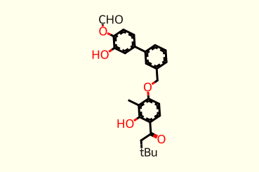 Cc1c(OCc2cccc(-c3ccc(OC=O)c(O)c3)c2)ccc(C(=O)CC(C)(C)C)c1O